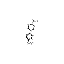 CCCCC[C@H]1CC[C@H](c2ccc(C(=O)O)cc2)CC1